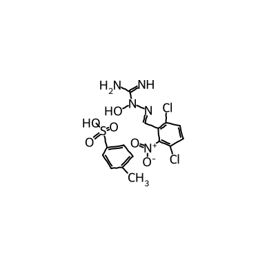 Cc1ccc(S(=O)(=O)O)cc1.N=C(N)N(O)N=Cc1c(Cl)ccc(Cl)c1[N+](=O)[O-]